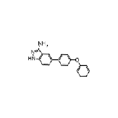 Nc1n[nH]c2ccc(-c3ccc(Oc4ccccc4)cc3)cc12